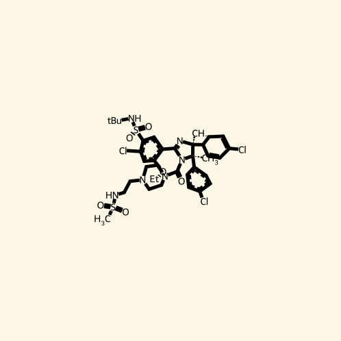 CCOc1cc(Cl)c(S(=O)(=O)NC(C)(C)C)cc1C1=N[C@@](C)(C2C=CC(Cl)=CC2)[C@@](C)(c2ccc(Cl)cc2)N1C(=O)N1CCN(CCNS(C)(=O)=O)CC1